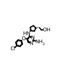 Nc1ncc(Oc2ccc(Cl)cc2)c(N[C@H]2CC[C@H](CCO)C2)n1